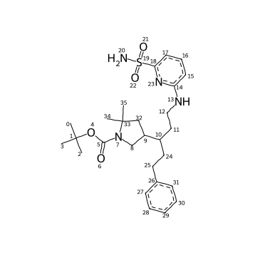 CC(C)(C)OC(=O)N1CC(C(CCNc2cccc(S(N)(=O)=O)n2)CCc2ccccc2)CC1(C)C